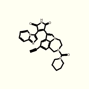 C#Cc1cc2c3c(c1)c(C1=C(c4cnc5ccccn45)C(=O)NC1=O)cn3CCN(C(=O)N1CCCCC1)C2